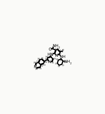 NC(=O)c1cc(F)c(NC2CCCC[C@@H]2N)nc1Nc1ccnc(-c2ccc3cnccc3c2)c1